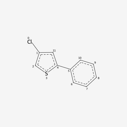 Clc1csc(-c2ccccc2)c1